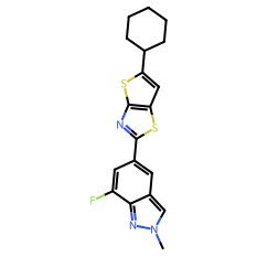 Cn1cc2cc(-c3nc4sc(C5CCCCC5)cc4s3)cc(F)c2n1